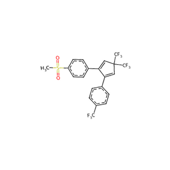 CS(=O)(=O)c1ccc(C2=CC(C(F)(F)F)(C(F)(F)F)C=C2c2ccc(C(F)(F)F)cc2)cc1